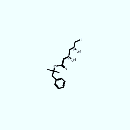 CC(C)(Cc1ccccc1)OC(=O)C[C@H](O)C[C@H](O)CCl